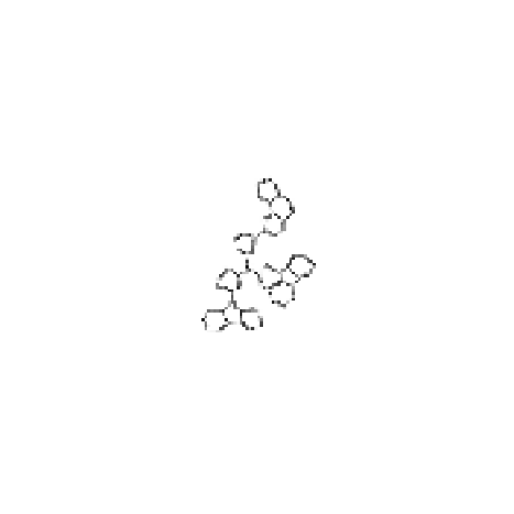 c1cc(-c2ccc3ccc4ccccc4c3c2)cc(N(c2cccc(-n3c4ccccc4c4ccccc43)c2)c2cc3c4c(cccc4c2)-c2ccccc2-3)c1